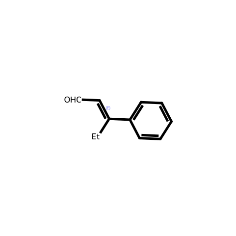 CC/C(=C\C=O)c1ccccc1